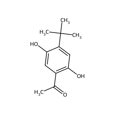 CC(=O)c1cc(O)c(C(C)(C)C)cc1O